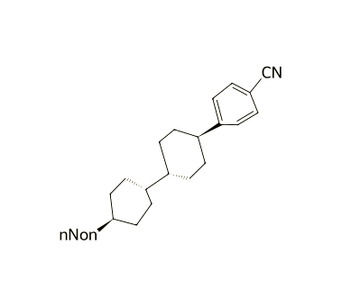 CCCCCCCCC[C@H]1CC[C@H]([C@H]2CC[C@H](c3ccc(C#N)cc3)CC2)CC1